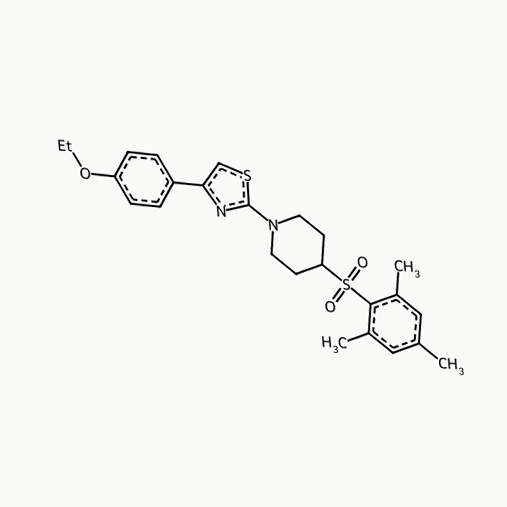 CCOc1ccc(-c2csc(N3CCC(S(=O)(=O)c4c(C)cc(C)cc4C)CC3)n2)cc1